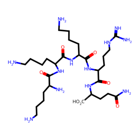 N=C(N)NCCCC(NC(=O)C(CCCCN)NC(=O)C(CCCCN)NC(=O)C(N)CCCCN)C(=O)NC(CCC(N)=O)C(=O)O